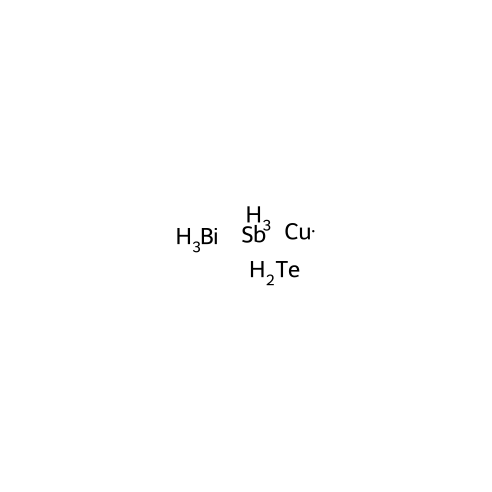 [BiH3].[Cu].[SbH3].[TeH2]